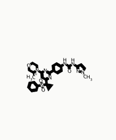 C[C@H]1COCCN1c1cc(C2(S(=O)(=O)c3ccccc3)CC2)nc(-c2ccc(NC(=O)Nc3ccn(C)n3)cc2)n1